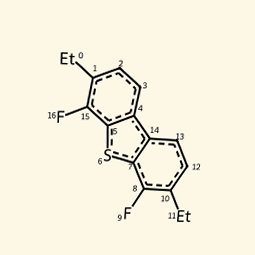 CCc1ccc2c(sc3c(F)c(CC)ccc32)c1F